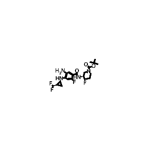 CC(C)(C)OC(=O)N1CC[C@H](F)[C@@H](NC(=O)c2cc(N)c(N[C@@H]3C[C@H]3C(F)F)cc2F)C1